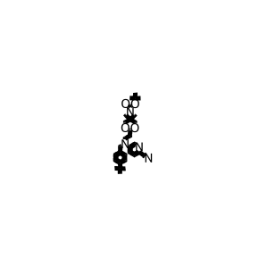 CC(C)(C)OC(=O)N1CC2(COC(CCN(Cc3ccc(C(C)(C)C)cc3)c3ccc(C#N)nc3)OC2)C1